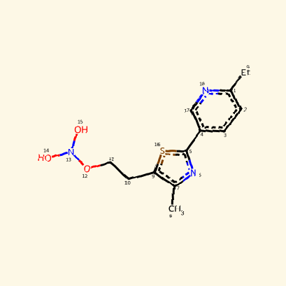 CCc1ccc(-c2nc(C)c(CCON(O)O)s2)cn1